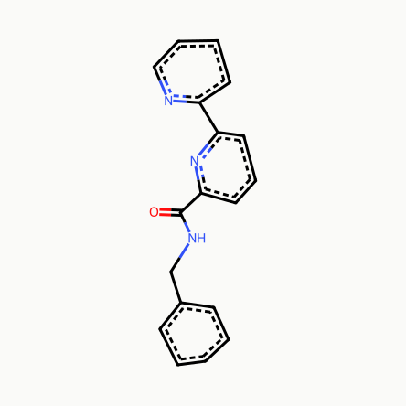 O=C(NCc1ccccc1)c1cccc(-c2ccccn2)n1